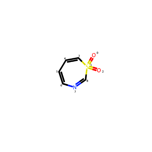 O=S1(=O)C=CC=CN=C1